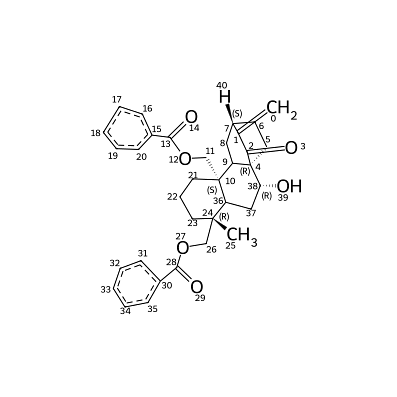 C=C1C(=O)[C@]23CC[C@H]1CC2[C@]1(COC(=O)c2ccccc2)CCC[C@@](C)(COC(=O)c2ccccc2)C1C[C@H]3O